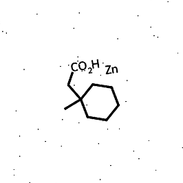 CC1(CC(=O)O)CCCCC1.[Zn]